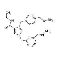 CCNC(=O)c1cn(Cc2cccc(C=NN)c2)cc1Cc1ccc(C=NN)cc1